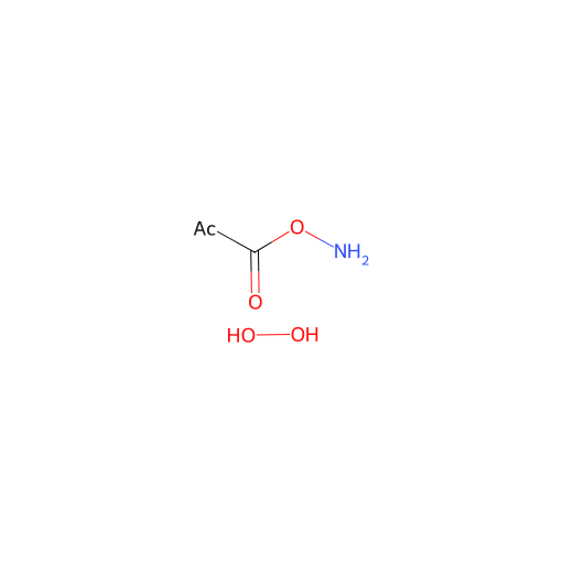 CC(=O)C(=O)ON.OO